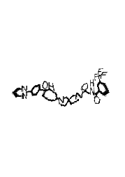 O=C(NCC(=O)N1CCC2(CCN(C3CCC(O)(c4ccc(-c5ncccn5)cc4)CC3)C2)C1)c1cccc(C(F)(F)F)c1